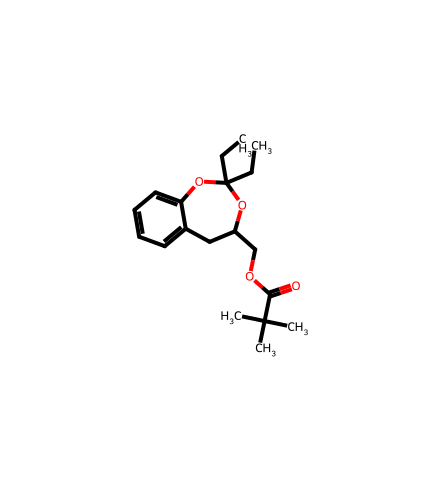 CCC1(CC)Oc2ccccc2CC(COC(=O)C(C)(C)C)O1